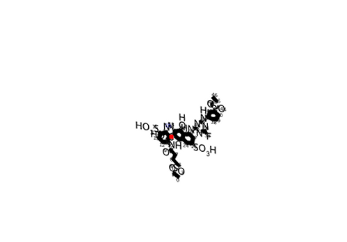 C=CS(=O)(=O)CCCC(=O)Nc1ccc(S(=O)(=O)O)c(/N=N\c2c(S(=O)(=O)O)cc3cc(S(=O)(=O)O)cc(Nc4nc(F)nc(Nc5cccc(S(=O)(=O)C=C)c5)n4)c3c2O)c1